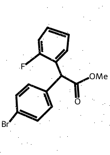 COC(=O)C(c1ccc(Br)cc1)c1ccccc1F